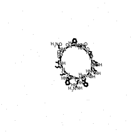 CCCC[C@H]1C(=O)N(C)[C@@H](CCCC)C(=O)N[C@@H](CC(C)C)C2OC2N[C@H](C(=O)NCC(N)=O)CSCC(=O)N[C@@H](Cc2ccccc2)C(=O)N(C)[C@@H](C)C(=O)N[C@@H](CC(N)=O)C(=O)N2CCC[C@H]2C(=O)N[C@@H](Cc2c[nH]cn2)C(=O)N[C@@H](Cc2c[nH]cn2)C(=O)N[C@@H](CO)C(=O)N[C@@H](Cc2c[nH]c3ccccc23)C(=O)N[C@@H](CCCNC(=N)N)C(=O)N[C@@H](Cc2c[nH]c3ccccc23)C(=O)N1C